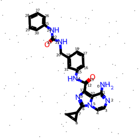 Nc1nccn2c(C3CC3)nc(C(=O)Nc3cccc(CNC(=O)Nc4ccccc4)c3)c12